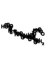 CC[C@@]1(O)C(=O)OCc2c1cc1n(c2=O)Cc2c-1nc1ccccc1c2CCN(CCOCNC(=O)CNC(=O)OCc1ccc(NC(=O)[C@H](CCCNC(N)=O)NC(=O)[C@@H](NC(=O)CC(C)(C)COCC(C)(C)CNC(=O)COC2C#CCCCCC2)C(C)C)cc1)C(C)C